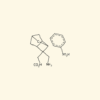 NCC1(CC(=O)O)C2CC3CC2C1C3.O=S(=O)(O)c1ccccc1